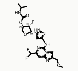 COCc1cn2c(Nc3cc([C@@H]4OC[C@H](OC(=O)NC(C)C)[C@@H]4F)[nH]n3)nc(C(F)F)cc2n1